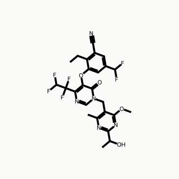 CCc1c(C#N)cc(C(F)F)cc1Oc1c(C(F)(F)C(F)F)ncn(Cc2c(C)nc(C(C)O)nc2OC)c1=O